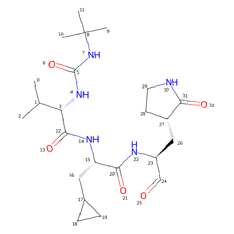 CC(C)[C@H](NC(=O)NC(C)(C)C)C(=O)N[C@@H](CC1CC1)C(=O)N[C@H](C=O)C[C@@H]1CCNC1=O